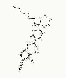 CCCCCCOC1(c2ccc(C(=O)Oc3ccc(C#N)c(F)c3F)cc2)CCCCC1